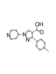 Cc1ccc(-c2nn(-c3ccncc3)cc2C(=O)O)cc1